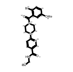 CCC(C)CNC(=O)c1ccc(N2CCN(C(=O)c3cc(OC)ccc3Br)CC2)nc1